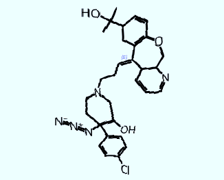 CC(C)(O)C1C=CC2=C(C1)/C(=C/CCN1CCC(N=[N+]=[N-])(c3ccc(Cl)cc3)C(O)C1)C1C=CC=NC1CO2